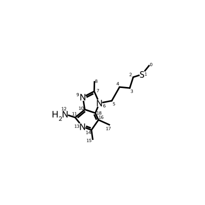 CSCCCCn1c(C)nc2c(N)nc(C)c(C)c21